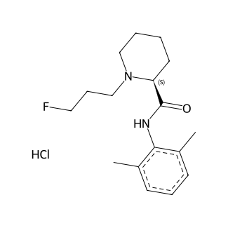 Cc1cccc(C)c1NC(=O)[C@@H]1CCCCN1CCCF.Cl